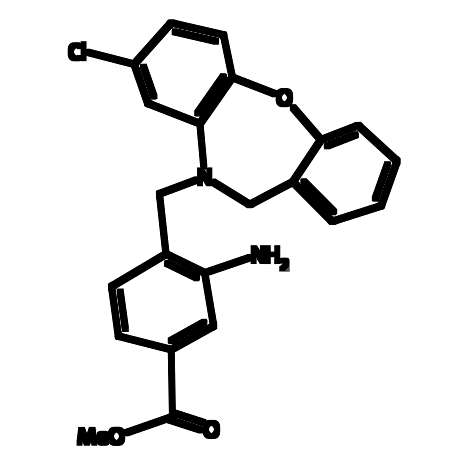 COC(=O)c1ccc(CN2Cc3ccccc3Oc3ccc(Cl)cc32)c(N)c1